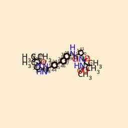 COC(=O)N[C@H](C(=O)N[C@H]1CCC[C@@H]1C(=O)Nc1ccc2cc(-c3ccc(-c4c[nH]c([C@@H]5CCCN5C(=O)[C@@H](C)C(C)C)n4)cc3)ccc2c1)C(C)C